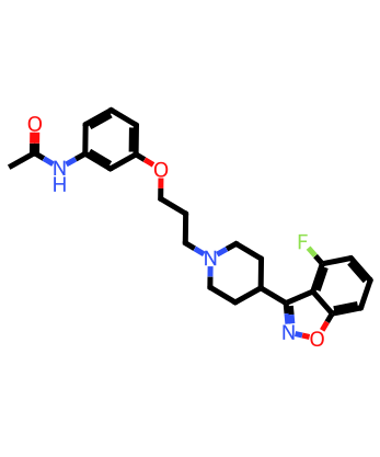 CC(=O)Nc1cccc(OCCCN2CCC(c3noc4cccc(F)c34)CC2)c1